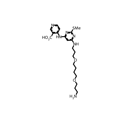 CSc1nc(NCCCOCCCCOCCCN)cc(Nc2ccncc2C(=O)O)n1